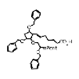 CCCCC[C@H](COC1C(OCc2ccccc2)CC(OCc2ccccc2)C1C=CCCCCC(=O)O)OCc1ccccc1